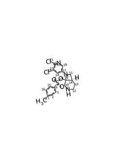 Cc1ccc(S(=O)(=O)O[C@]23CNCC[C@@H]2CN3c2cnc(Cl)c(Cl)c2)cc1